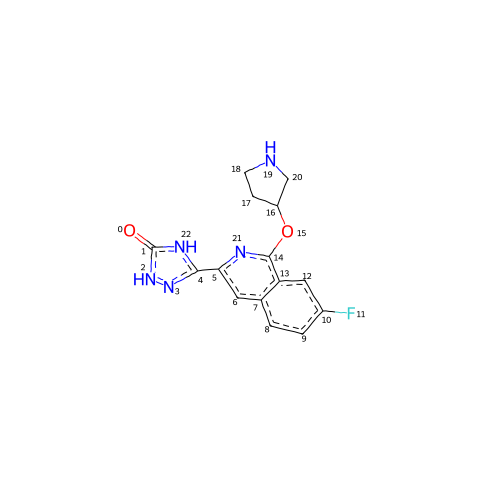 O=c1[nH]nc(-c2cc3ccc(F)cc3c(OC3CCNC3)n2)[nH]1